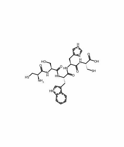 N[C@@H](CS)C(=O)N[C@@H](CO)C(=O)N[C@@H](Cc1c[nH]c2ccccc12)C(=O)N[C@@H](Cc1c[nH]cn1)C(=O)N[C@@H](CS)C(=O)O